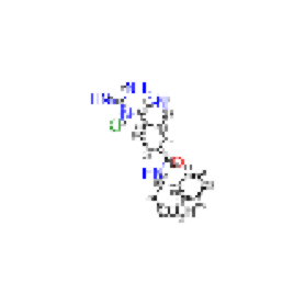 N=C(N)N(Cl)c1cncc2cc(C(=O)NC(CC(=O)O)c3ccccc3)ccc12